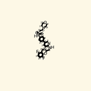 O=C1CNc2ncc(-c3ccc(NS(=O)(=O)CCN4CCOCC4)cc3)cc2N1Cc1cc(F)ccc1F